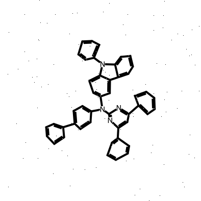 c1ccc(-c2ccc(N(c3ccc4c(c3)c3ccccc3n4-c3ccccc3)c3nc(-c4ccccc4)cc(-c4ccccc4)n3)cc2)cc1